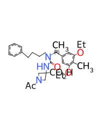 CCOc1cc([C@@H](C)N(CCCCc2ccccc2)C(=O)NC2(C(=O)O)CN(C(C)=O)C2)cc(OCC)c1C